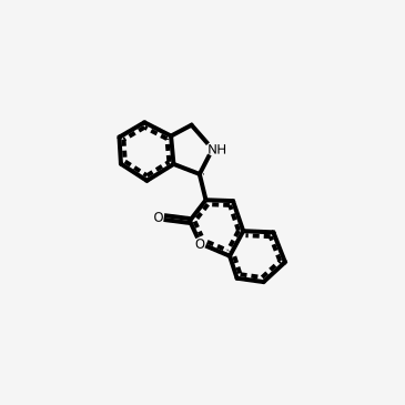 O=c1oc2ccccc2cc1[C]1NCc2ccccc21